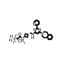 CC(C)(C)C(=O)O[C@H]1C[C@H](CNc2cc(N3CCc4ccccc4CC3)nc(-c3ccccn3)n2)C1